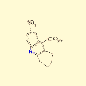 O=C(O)c1c2c(nc3ccc([N+](=O)[O-])cc13)CCCC2